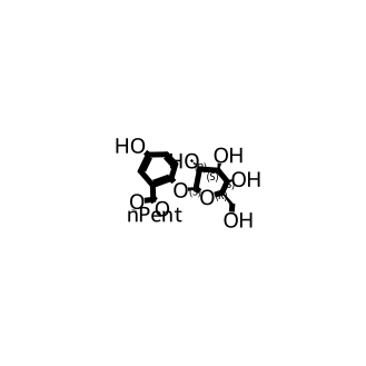 CCCCCOC(=O)c1cc(O)ccc1O[C@@H]1O[C@H](CO)[C@@H](O)[C@H](O)[C@H]1O